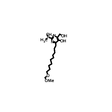 COCOCCCCCCCCCCc1nc(N(C)C)nc(CO)c1O